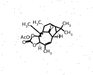 CC(=O)O[C@H]1C(C)=C[C@]23C(=O)[C@@H](C=C(C)[C@H]4OC(=O)OC412)[C@H]1C(C[C@H]3C)C1(C)C